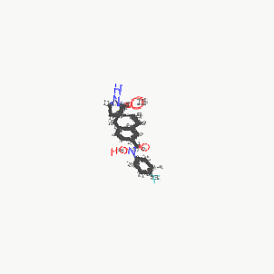 O=C(c1ccc2c(c1)CC[C@]1(CCNC1=O)C2)N(O)c1ccc(F)cc1